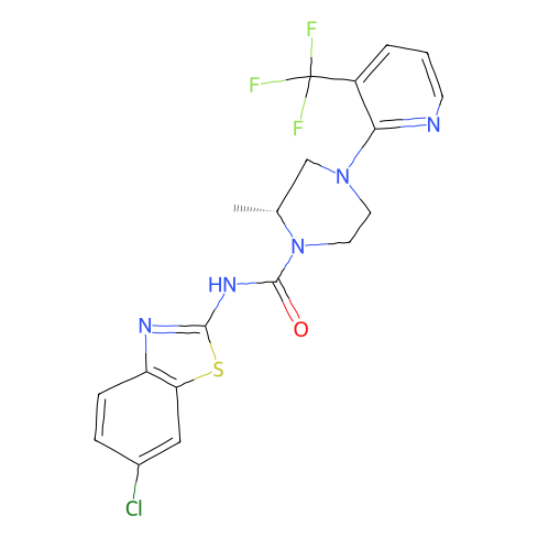 C[C@@H]1CN(c2ncccc2C(F)(F)F)CCN1C(=O)Nc1nc2ccc(Cl)cc2s1